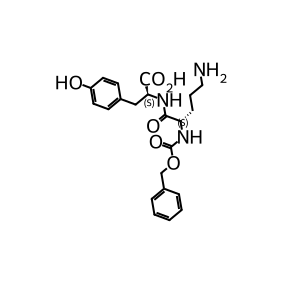 NCCC[C@H](NC(=O)OCc1ccccc1)C(=O)N[C@@H](Cc1ccc(O)cc1)C(=O)O